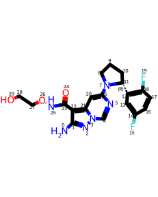 Nc1nn2cnc(N3CCC[C@@H]3c3cc(F)ccc3F)cc2c1C(=O)NOCCO